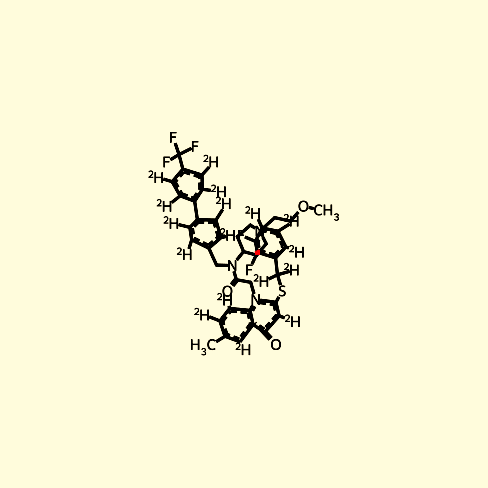 [2H]c1c([2H])c(F)c(F)c(C([2H])([2H])Sc2c([2H])c(=O)c3c([2H])c(C)c([2H])c([2H])c3n2CC(=O)N(Cc2c([2H])c([2H])c(-c3c([2H])c([2H])c(C(F)(F)F)c([2H])c3[2H])c([2H])c2[2H])C2CCN(CCOC)CC2)c1[2H]